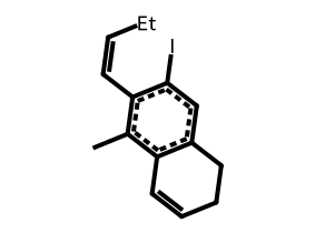 CC/C=C\c1c(I)cc2c(c1C)C=CCC2